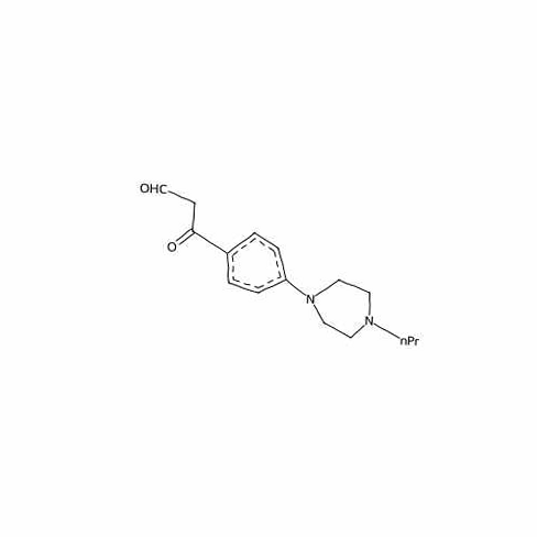 CCCN1CCN(c2ccc(C(=O)CC=O)cc2)CC1